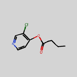 CCCC(=O)Oc1c[c]ncc1Cl